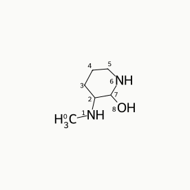 CNC1CCCNC1O